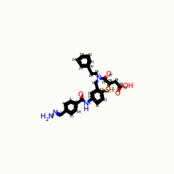 NN=Cc1ccc(C(=O)Nc2ccc3c(c2)CN(CCc2ccccc2)C(=O)C(CC(=O)O)[SH]3)cc1